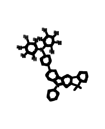 [2H]c1c([2H])c([2H])c(N(c2ccc(-c3ccc4c(c3)c3cc5c(cc3n4-c3ccccc3)C(C)(C)c3ccccc3-5)cc2)c2c([2H])c([2H])c([2H])c([2H])c2[2H])c([2H])c1[2H]